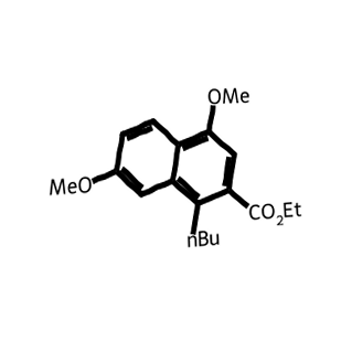 CCCCc1c(C(=O)OCC)cc(OC)c2ccc(OC)cc12